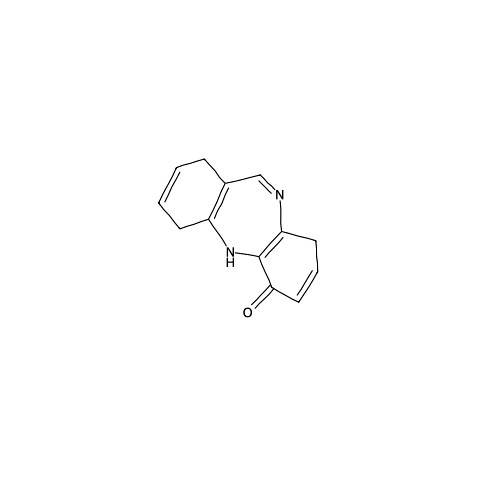 O=C1C=CCC2=C1NC1=C(C=N2)CC=CC1